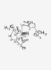 CC(C)CC[C@H](C)CC(O)[C@@]1(F)C(C)CCC2=CC(=O)C=C[C@@]21C